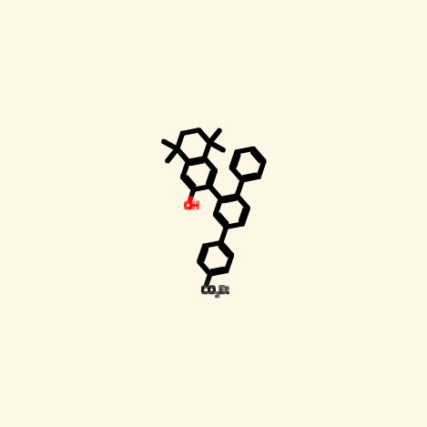 CCOC(=O)c1ccc(-c2ccc(-c3ccccc3)c(-c3cc4c(cc3O)C(C)(C)CCC4(C)C)c2)cc1